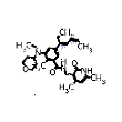 C=C/C(=C\C=C/C)c1cc(C(=O)NCc2c(C)cc(C)[nH]c2=O)c(C)c(N(CC)C2CCOCC2)c1